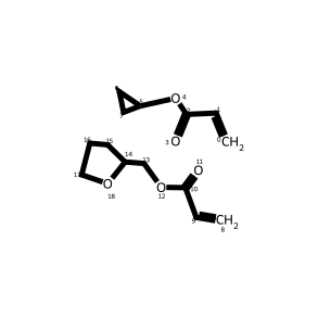 C=CC(=O)OC1CC1.C=CC(=O)OCC1CCCO1